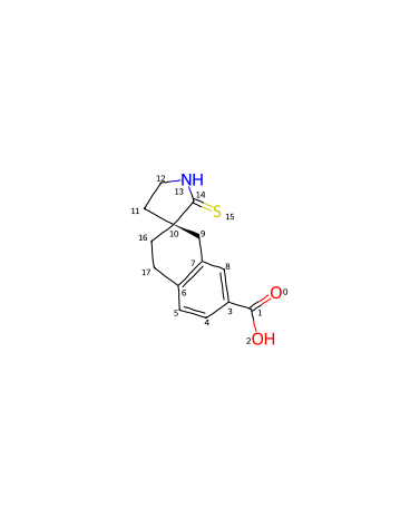 O=C(O)c1ccc2c(c1)C[C@]1(CCNC1=S)CC2